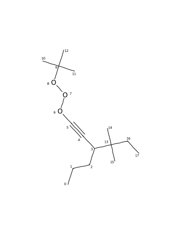 CCCC(C#COOOC(C)(C)C)C(C)(C)CC